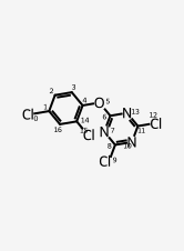 Clc1ccc(Oc2nc(Cl)nc(Cl)n2)c(Cl)c1